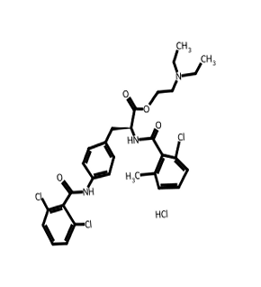 CCN(CC)CCOC(=O)[C@H](Cc1ccc(NC(=O)c2c(Cl)cccc2Cl)cc1)NC(=O)c1c(C)cccc1Cl.Cl